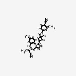 Cc1nc(N2CC3(CC(c4nnc5n4-c4ccc(Cl)cc4CN(C(C)C#N)C5)C3)C2)ccc1C#N